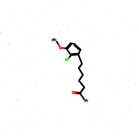 CCCOc1cccc(CCCCCC(=O)C(C)C)c1Cl